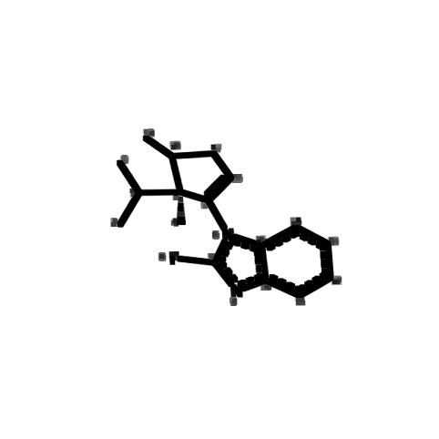 CC(C)[C@]1(C)C(n2c(F)nc3ccccc32)=CCC1C